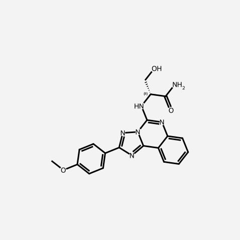 COc1ccc(-c2nc3c4ccccc4nc(N[C@H](CO)C(N)=O)n3n2)cc1